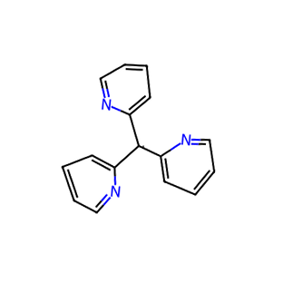 c1ccc([C](c2ccccn2)c2ccccn2)nc1